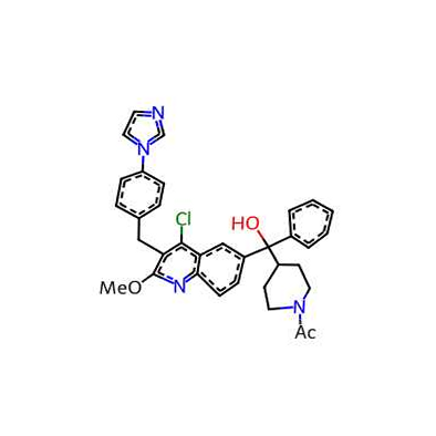 COc1nc2ccc(C(O)(c3ccccc3)C3CCN(C(C)=O)CC3)cc2c(Cl)c1Cc1ccc(-n2ccnc2)cc1